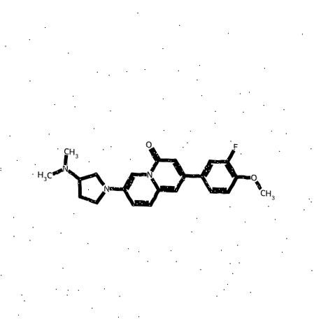 COc1ccc(-c2cc(=O)n3cc(N4CCC(N(C)C)C4)ccc3c2)cc1F